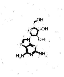 Nc1nc(N)c2ncn([C@@H]3O[C@H](CO)[C@H](O)[C@@H]3O)c2n1